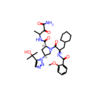 COc1ccccc1C(=O)/N=C(\CC1CCCCC1)C(=O)N1C[C@@H](n2nncc2C(C)(C)O)C[C@H]1C(=O)NC(C)C(=O)C(N)=O